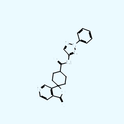 O=C1OC2(CCC(C(=O)Nc3cnn(-c4ccccc4)n3)CC2)c2cnccc21